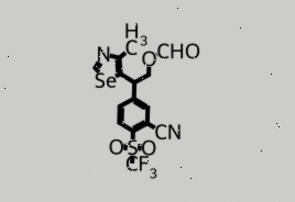 Cc1nc[se]c1C(COC=O)c1ccc(S(=O)(=O)C(F)(F)F)c(C#N)c1